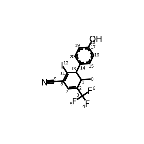 CC1C(C(F)(F)F)=CC(C#N)=C(I)C1c1ccc(O)cc1